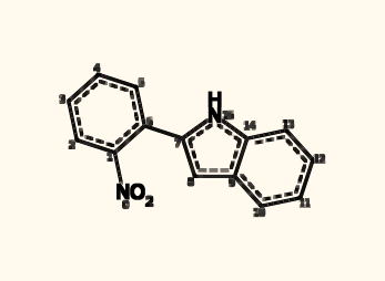 O=[N+]([O-])c1ccccc1-c1cc2ccccc2[nH]1